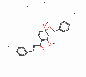 COC1=C(C(=O)C=Cc2ccccc2)C=CC(OC)(OCc2ccccc2)C1